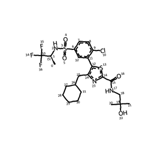 C[C@H](NS(=O)(=O)c1ccc(Cl)c(-c2sc(C(=O)NCC(C)(C)O)nc2CC2CCCCC2)c1)C(F)(F)F